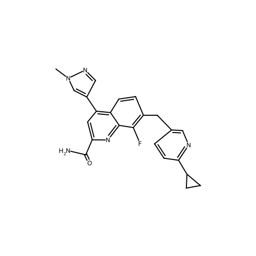 Cn1cc(-c2cc(C(N)=O)nc3c(F)c(Cc4ccc(C5CC5)nc4)ccc23)cn1